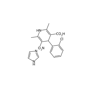 CC1=C(C(=O)O)C(c2ccccc2Cl)C([N+](=O)[O-])=C(C)N1.c1c[nH]cn1